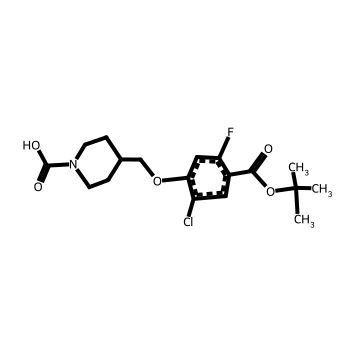 CC(C)(C)OC(=O)c1cc(Cl)c(OCC2CCN(C(=O)O)CC2)cc1F